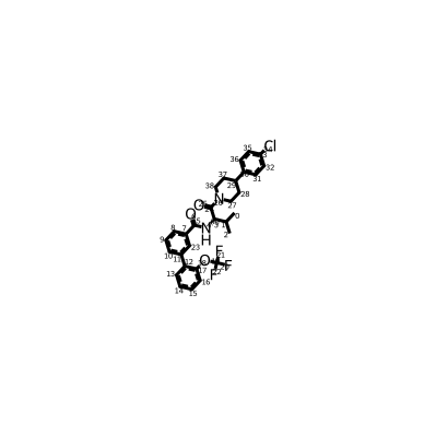 CC(C)[C@@H](NC(=O)c1cccc(-c2ccccc2OC(F)(F)F)c1)C(=O)N1CCC(c2ccc(Cl)cc2)CC1